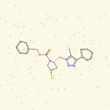 Cc1c(-c2ccccc2)nnn1C[C@@H]1C[C@@H](S)CN1C(=O)OCc1ccccc1